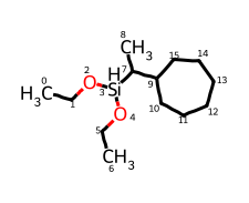 CCO[SiH](OCC)C(C)C1CCCCCC1